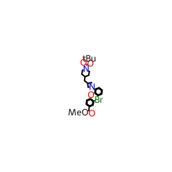 COC(=O)c1ccc(Oc2ccccc2N2CC(CC3CCN(C(=O)OC(C)(C)C)CC3)C2)c(Br)c1